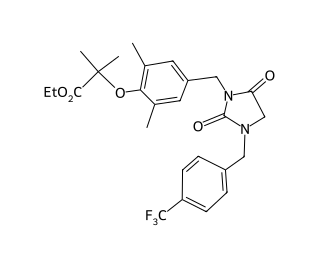 CCOC(=O)C(C)(C)Oc1c(C)cc(CN2C(=O)CN(Cc3ccc(C(F)(F)F)cc3)C2=O)cc1C